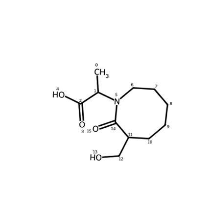 CC(C(=O)O)N1CCCCCC(CO)C1=O